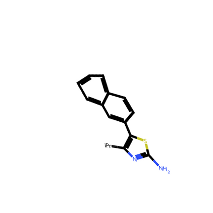 CC(C)c1nc(N)sc1-c1ccc2ccccc2c1